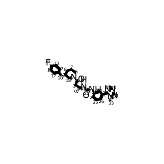 C[C@H](CC(=O)N1CCC[C@@H](Cc2ccc(F)cc2)C1)NC(=O)Nc1cccc(-c2nnnn2C)c1